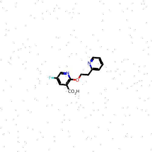 O=C(O)c1cc(F)cnc1OCCc1ccccn1